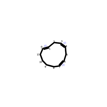 [C]1=C/C/C=C\C/C=C\CCCC/1